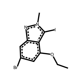 CCOc1cc(Br)cc2nn(C)c(I)c12